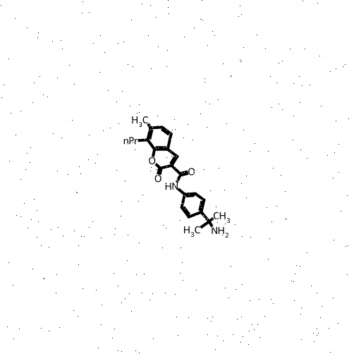 CCCc1c(C)ccc2cc(C(=O)Nc3ccc(C(C)(C)N)cc3)c(=O)oc12